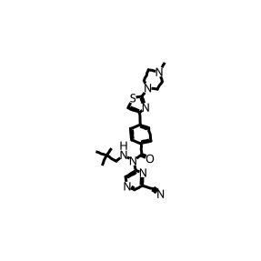 CN1CCN(c2nc(-c3ccc(C(=O)N(NCC(C)(C)C)c4cncc(C#N)n4)cc3)cs2)CC1